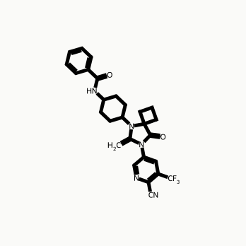 C=C1N(c2cnc(C#N)c(C(F)(F)F)c2)C(=O)C2(CCC2)N1C1CCC(NC(=O)c2ccccc2)CC1